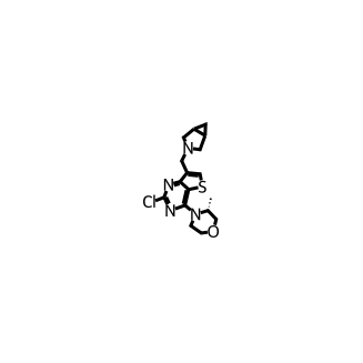 C[C@@H]1COCCN1c1nc(Cl)nc2c(CN3CC4CC4C3)csc12